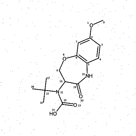 COc1ccc2c(c1)OCC(N(C(=O)O)C(C)(C)C)C(=O)N2